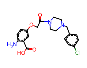 Nc1ccc(OCC(=O)N2CCN(Cc3ccc(Cl)cc3)CC2)cc1C(=O)O